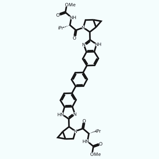 COC(=O)N[C@H](C(=O)N1CC2CC2C1c1nc2cc(-c3ccc(-c4ccc5[nH]c(C6C7CC7CN6C(=O)[C@@H](NC(=O)OC)C(C)C)nc5c4)cc3)ccc2[nH]1)C(C)C